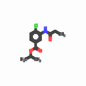 CCC(=O)Nc1cc(C(=O)OC(C)C)ccc1Cl